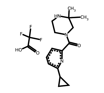 CC1(C)CN(C(=O)c2cccc(C3CC3)n2)CCN1.O=C(O)C(F)(F)F